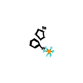 CC(C)c1ccccc1.F[P-](F)(F)(F)(F)F.[CH]1[CH][CH][CH][CH]1.[Fe]